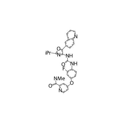 CNC(=O)c1cc(Oc2ccc(NC(=O)Nc3nc(C(C)C)oc3-c3ccc4ncccc4c3)c(F)c2)ccn1